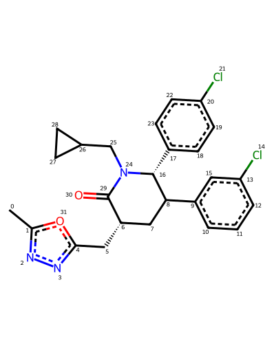 Cc1nnc(C[C@H]2CC(c3cccc(Cl)c3)[C@@H](c3ccc(Cl)cc3)N(CC3CC3)C2=O)o1